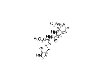 CCOC(=O)C(=CCC[C@H]1CCNC1=O)NC(=O)c1cc2cccc([N+](=O)[O-])c2[nH]1